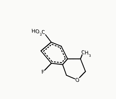 CC1COCc2c(F)cc(C(=O)O)cc21